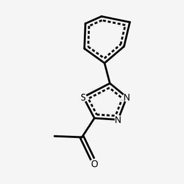 CC(=O)c1nnc(-c2ccccc2)s1